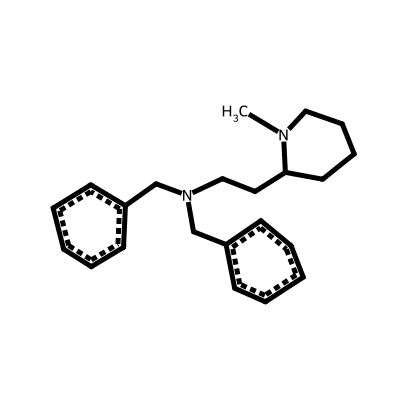 CN1CCCCC1CCN(Cc1ccccc1)Cc1ccccc1